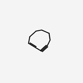 C1#CCCCCCC=C1